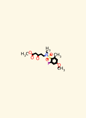 COC(=O)CC(=O)CCN(C)S(=O)(=O)c1c(C)cc(OC)cc1I